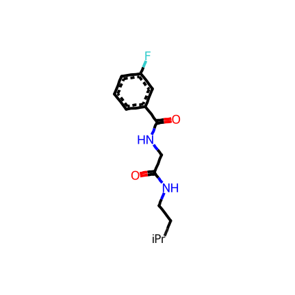 CC(C)CCNC(=O)CNC(=O)c1cccc(F)c1